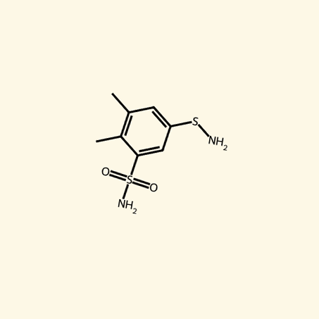 Cc1cc(SN)cc(S(N)(=O)=O)c1C